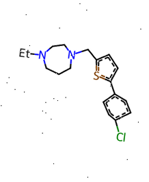 CCN1CCCN(Cc2ccc(-c3ccc(Cl)cc3)s2)CC1